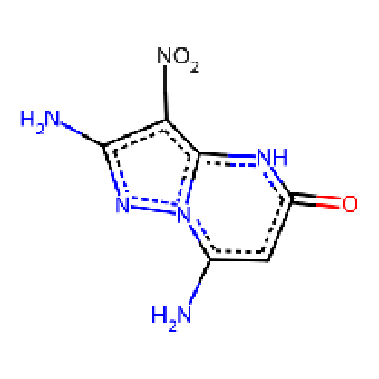 Nc1nn2c(N)cc(=O)[nH]c2c1[N+](=O)[O-]